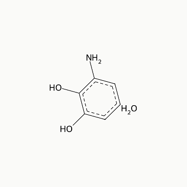 Nc1cccc(O)c1O.O